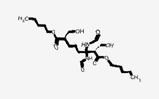 CCCCCOC(=O)[C@@H](CO)CCCC(NC=O)(NC=O)[C@H](CO)C(=O)OCCCCC